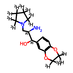 [2H]C1([2H])Oc2ccc([C@@H](O)[C@H](N)CN3C([2H])([2H])C([2H])([2H])C([2H])([2H])C3([2H])[2H])cc2OC1([2H])[2H]